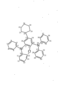 Clc1c(N(c2ccccc2)c2ccccc2)cc(C2CCCCC2)cc1N(c1ccccc1)c1ccccc1